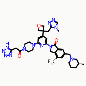 C[C@H]1CCCN(Cc2cc3c(c(C(F)(F)F)c2)CN(c2cc(C4(Cc5nncn5C)COC4)cc(N4CCN(C(=O)Cc5nnn[nH]5)CC4)n2)C3=O)C1